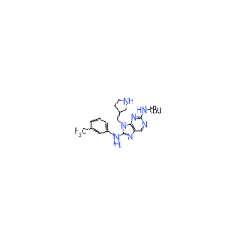 CC(C)(C)Nc1ncc2nc(Nc3cccc(C(F)(F)F)c3)n(CC3CCNC3)c2n1